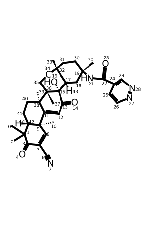 CC1(C)C(=O)C(C#N)=C[C@]2(C)C3=CC(=O)[C@]4(O)[C@@H]5C[C@@](C)(NC(=O)c6ccnnc6)CC[C@@]5(C)CC[C@@]4(C)[C@]3(C)CC[C@@H]12